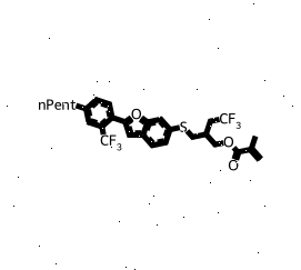 C=C(C)C(=O)OCC(CSc1ccc2cc(-c3ccc(CCCCC)cc3C(F)(F)F)oc2c1)CC(F)(F)F